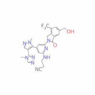 Cn1cnnc1-c1cnn(C)c1-c1cc(NCCC#N)nc(N2Cc3c(cc(CO)cc3C(F)(F)F)C2=O)c1